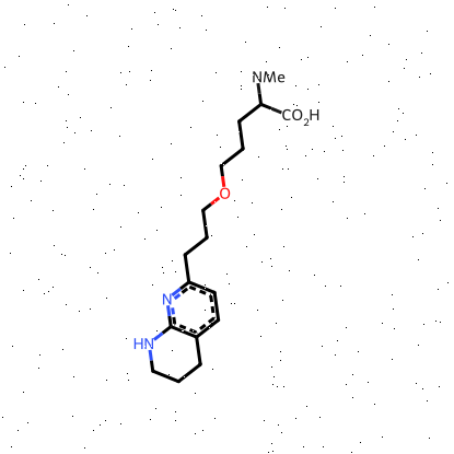 CNC(CCCOCCCc1ccc2c(n1)NCCC2)C(=O)O